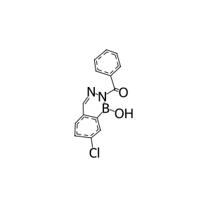 O=C(c1ccccc1)N1N=Cc2ccc(Cl)cc2B1O